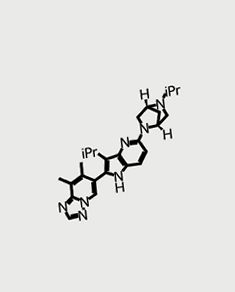 Cc1c(-c2[nH]c3ccc(N4C[C@H]5C[C@@H]4CN5C(C)C)nc3c2C(C)C)cn2ncnc2c1C